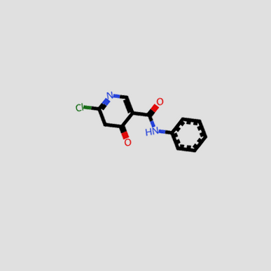 O=C1CC(Cl)=NC=C1C(=O)Nc1ccccc1